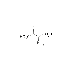 NC(C(=O)O)C(Cl)C(=O)O